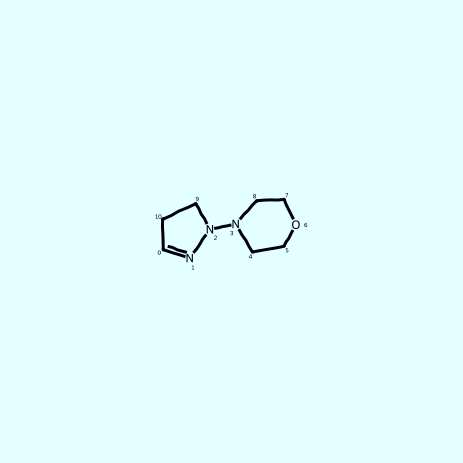 C1=NN(N2CCOCC2)CC1